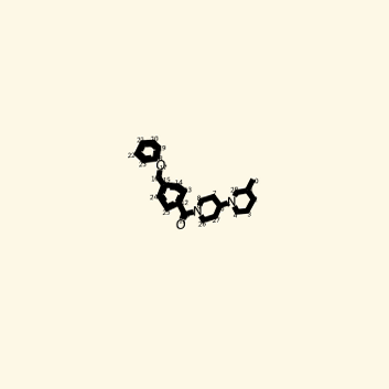 CC1CCCN(C2CCN(C(=O)c3ccc(COc4ccccc4)cc3)CC2)C1